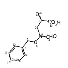 CC[C@H](CN(C=O)OCc1ccccc1)C(=O)O